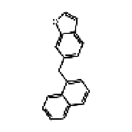 c1ccc2c(Cc3ccc4ccoc4c3)cccc2c1